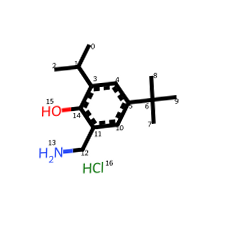 CC(C)c1cc(C(C)(C)C)cc(CN)c1O.Cl